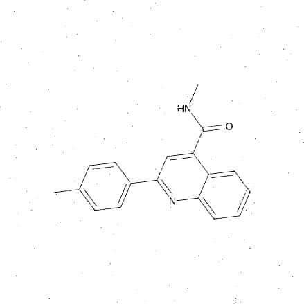 CNC(=O)c1cc(-c2ccc(C)cc2)nc2ccccc12